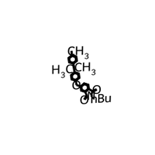 CCCCN1C(=O)c2ccc(Oc3ccc(C(C)(C)c4ccc(C)cc4)cc3)cc2C1=O